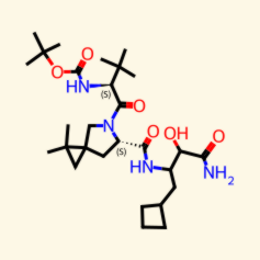 CC(C)(C)OC(=O)N[C@H](C(=O)N1CC2(C[C@H]1C(=O)NC(CC1CCC1)C(O)C(N)=O)CC2(C)C)C(C)(C)C